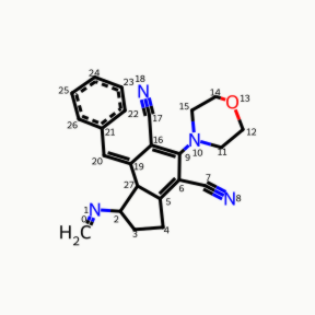 C=NC1CCC2=C(C#N)C(N3CCOCC3)=C(C#N)C(=Cc3ccccc3)C21